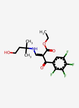 CCOC(=O)/C(=C\NC(C)(C)CCO)C(=O)c1cc(F)c(F)c(F)c1F